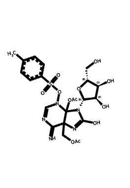 CC(=O)OCC12N=C(O)N([C@@H]3O[C@H](CO)[C@@H](O)[C@H]3O)C1(OC(C)=O)N(OS(=O)(=O)c1ccc(C)cc1)C=NC2=N